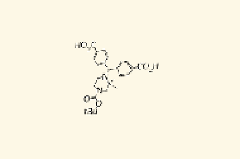 CC(C)(C)OC(=O)N1CCN(C(c2ccc(C(=O)O)cc2)c2ccc(C(=O)O)cc2)C(C)(C)C1